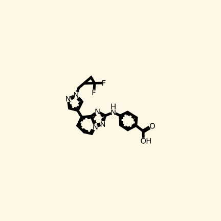 O=C(O)c1ccc(Nc2nc3c(-c4cnn(CC5CC5(F)F)c4)cccn3n2)cc1